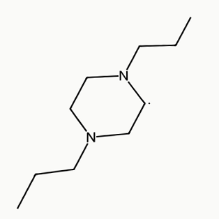 CCCN1[CH]CN(CCC)CC1